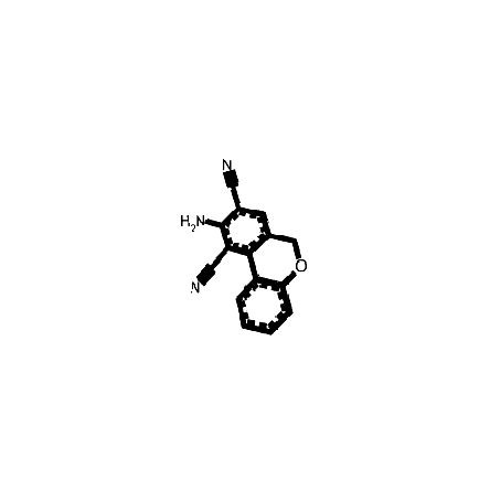 N#Cc1cc2c(c(C#N)c1N)-c1ccccc1OC2